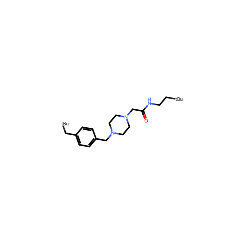 CC(C)(C)CCNC(=O)CN1CCN(Cc2ccc(CC(C)(C)C)cc2)CC1